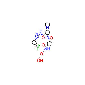 O=C(NCCOCCO)c1cccc(C(=O)Nc2ccc(N3CCCCC3)cc2C(=O)Nc2cn(-c3cccc(C(F)(F)F)c3)cn2)c1